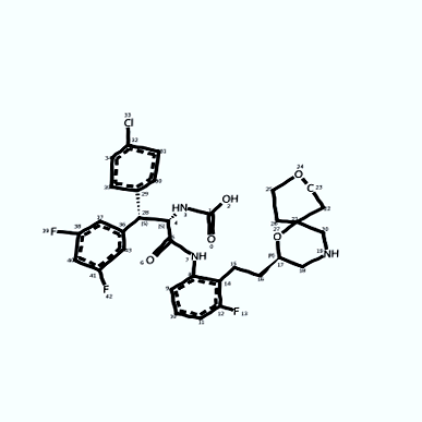 O=C(O)N[C@H](C(=O)Nc1cccc(F)c1CC[C@@H]1CNCC2(CCOCC2)O1)[C@@H](c1ccc(Cl)cc1)c1cc(F)cc(F)c1